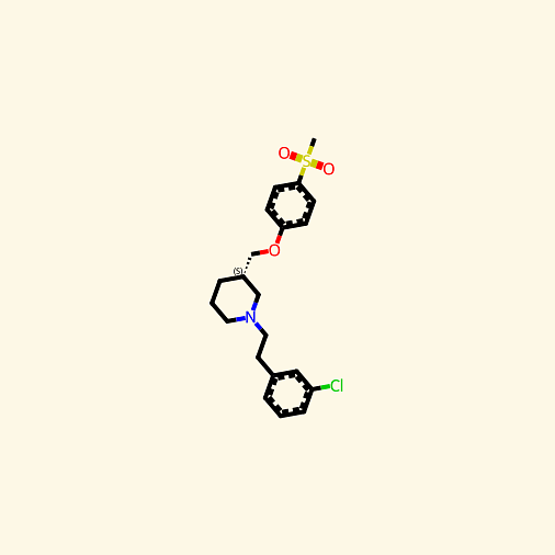 CS(=O)(=O)c1ccc(OC[C@H]2CCCN(CCc3cccc(Cl)c3)C2)cc1